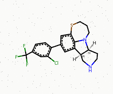 FC(F)(F)c1ccc(-c2cc3c4c(c2)[C@@H]2CNCC[C@@H]2N4CCCS3)c(Cl)c1